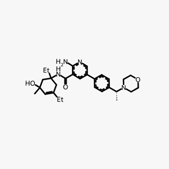 CCC1=CC(C)(O)CC(CC)(NC(=O)c2cc(-c3ccc([C@@H](C)N4CCOCC4)cc3)cnc2N)C1